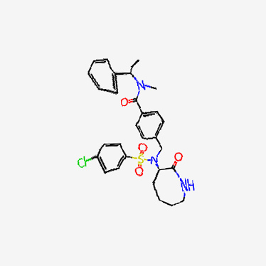 C[C@H](c1ccccc1)N(C)C(=O)c1ccc(CN([C@@H]2CCCCNC2=O)S(=O)(=O)c2ccc(Cl)cc2)cc1